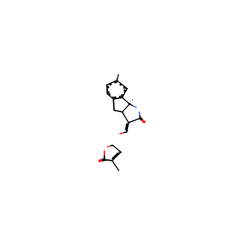 CC1=C[C@@H](O/C=C2/C(=O)N[C@H]3c4cc(C(=O)O)ccc4C[C@H]23)OC1=O